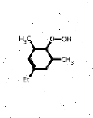 CCC1=CC(C)C(OO)C(C)C1